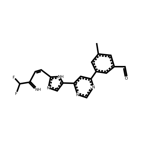 Cc1cc(C=O)cc(-c2cc(-c3cnc(/C=C\C(=N)C(F)F)[nH]3)ncn2)c1